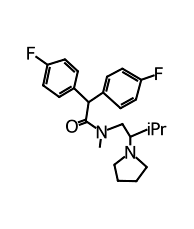 CC(C)C(CN(C)C(=O)C(c1ccc(F)cc1)c1ccc(F)cc1)N1CCCC1